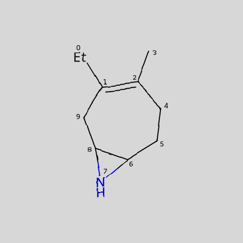 CCC1=C(C)CCC2NC2C1